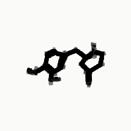 COc1ccc(CC2CC(=O)CCN2)cc1OC